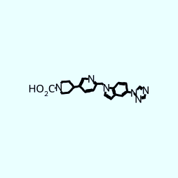 O=C(O)N1CCC(c2ccc(Cn3ccc4cc(-n5cncn5)ccc43)nc2)CC1